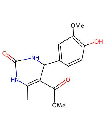 COC(=O)C1=C(C)NC(=O)NC1c1ccc(O)c(OC)c1